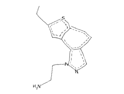 CCc1cc2c(ccc3cnn(CCN)c32)s1